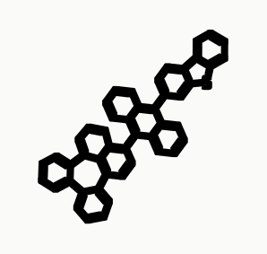 c1ccc2c(c1)-c1ccccc1-c1ccc(-c3c4ccccc4c(-c4ccc5c(c4)sc4ccccc45)c4ccccc34)c3cccc-2c13